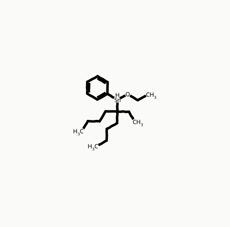 CCCC[C](CC)(CCCC)[SnH]([O]CC)[c]1ccccc1